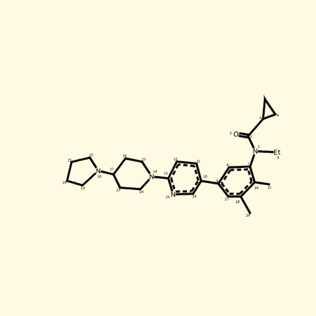 CCN(C(=O)C1CC1)c1cc(-c2ccc(N3CCC(N4CCCC4)CC3)nc2)cc(C)c1C